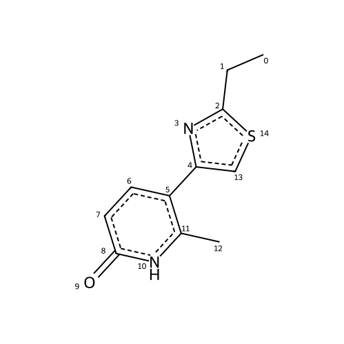 CCc1nc(-c2ccc(=O)[nH]c2C)cs1